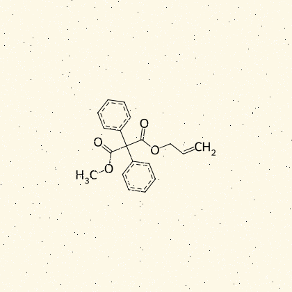 C=CCOC(=O)C(C(=O)OC)(c1ccccc1)c1ccccc1